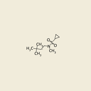 CN(C[CH]C(C)(C)C)S(=O)(=O)C1CC1